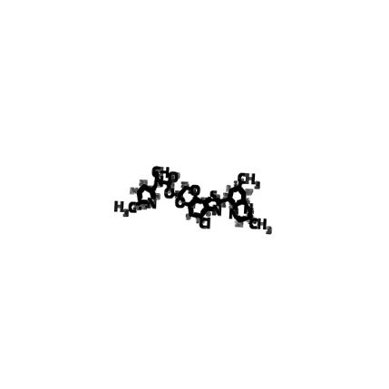 Cc1cc(-c2nc3c(Cl)cc4c(c3s2)OC[C@@H](OC(=O)N(C)c2ccc(C)nc2)O4)c2ncc(C)nc2c1